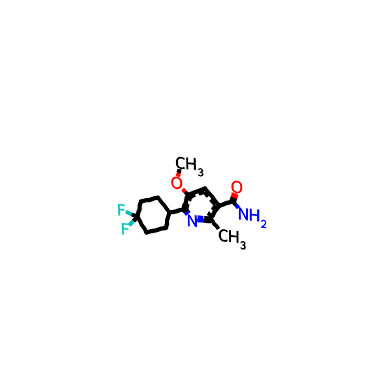 COc1cc(C(N)=O)c(C)nc1C1CCC(F)(F)CC1